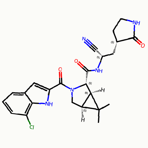 CC1(C)[C@@H]2[C@@H](C(=O)N[C@H](C#N)C[C@@H]3CCNC3=O)N(C(=O)c3cc4cccc(Cl)c4[nH]3)C[C@@H]21